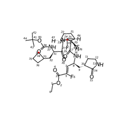 CCOC(=O)/C(F)=C/[C@H](C[C@@H]1CCNC1=O)NC(=O)[C@H]1[C@@H]2CC[C@@H](CC2(F)F)N1C(=O)[C@@H](CC1CCC1)NC(=O)OC(C)(C)C